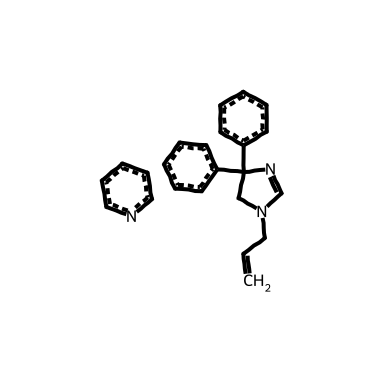 C=CCN1C=NC(c2ccccc2)(c2ccccc2)C1.c1ccncc1